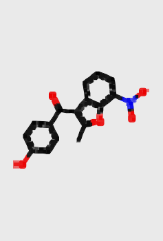 Cc1oc2c([N+](=O)[O-])cccc2c1C(=O)c1ccc(O)cc1